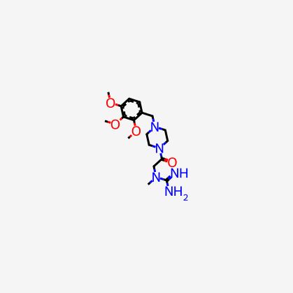 COc1ccc(CN2CCN(C(=O)CN(C)C(=N)N)CC2)c(OC)c1OC